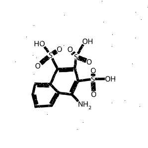 Nc1c(S(=O)(=O)O)c(S(=O)(=O)O)c(S(=O)(=O)O)c2ccccc12